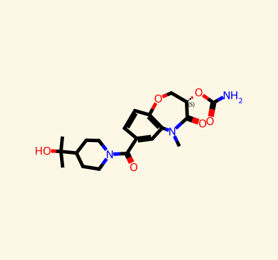 CN1C(=O)[C@@H](OC(N)=O)COc2ccc(C(=O)N3CCC(C(C)(C)O)CC3)cc21